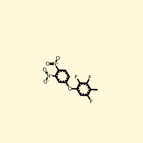 Cc1c(F)cc(Oc2ccc([N+](=O)[O-])c([N+](=O)[O-])c2)c(F)c1F